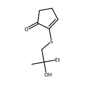 CCC(C)(O)CSC1=CCCC1=O